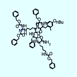 CCCCOc1cc(C)c(C[C@H](NC(=O)OCc2ccccc2)C(=O)N[C@H](CCCN/C(=N\C(=O)OCc2ccccc2)NC(=O)OCc2ccccc2)C(=O)N[C@@H](Cc2ccccc2)C(=O)N[C@@H](CCCCNC(=O)OCc2ccccc2)C(N)=O)c(C)c1